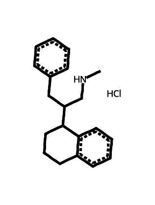 CNCC(Cc1ccccc1)C1CCCc2ccccc21.Cl